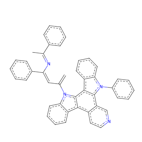 C=C(/C=C(\N=C(/C)c1ccccc1)c1ccccc1)n1c2ccccc2c2c3ccncc3c3c(c4ccccc4n3-c3ccccc3)c21